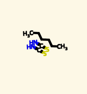 CCCCCC.N=C=S.N=C=S